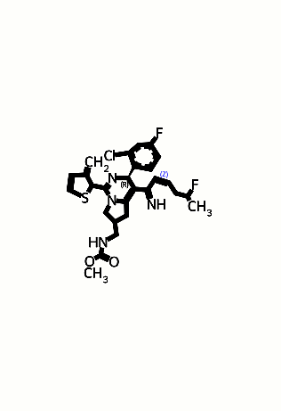 C=C1C=CSC1C1=N[C@@H](c2ccc(F)cc2Cl)C(C(=N)/C=C\CC(C)F)=C2CC(CNC(=O)OC)CN12